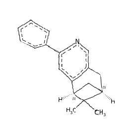 CC1(C)[C@@H]2Cc3cnc(-c4ccccc4)cc3[C@H]1C2